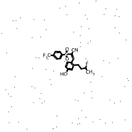 CC(F)CCc1cc(O)ccc1C=C(C#N)S(=O)(=O)c1ccc(C(F)(F)F)cc1